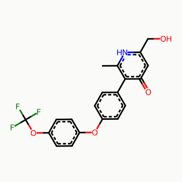 Cc1[nH]c(CO)cc(=O)c1-c1ccc(Oc2ccc(OC(F)(F)F)cc2)cc1